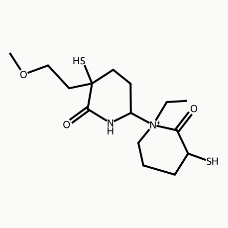 CC[N+]1(C2CCC(S)(CCOC)C(=O)N2)CCCC(S)C1=O